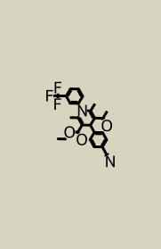 CCOC(=O)C1=C(C)N(c2cccc(C(F)(F)F)c2)C(C)=C(C(C)=O)C1c1ccc(C#N)cc1